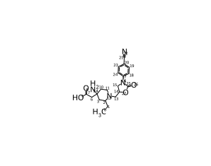 CCC1CC(N)(CC(=O)O)CCN1CC1CN(c2ccc(C#N)cc2)C(=O)O1